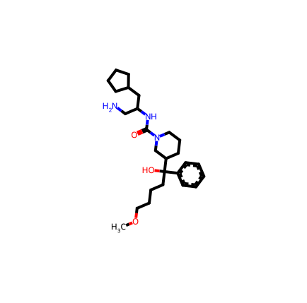 COCCCCC(O)(c1ccccc1)C1CCCN(C(=O)NC(CN)CC2CCCC2)C1